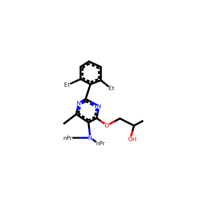 CCCN(CCC)c1c(C)nc(-c2c(CC)cccc2CC)nc1OCC(C)O